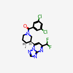 C[C@@H]1CCN(C(=O)c2cc(Cl)cc(Cl)c2)C[C@H]1c1cc(C(F)F)nc2ncnn12